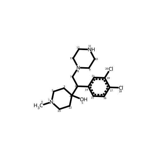 CN1CCC(O)(C(CN2CCNCC2)c2ccc(Cl)c(Cl)c2)CC1